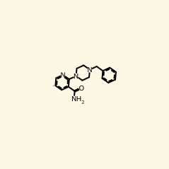 NC(=O)c1c[c]cnc1N1CCN(Cc2ccccc2)CC1